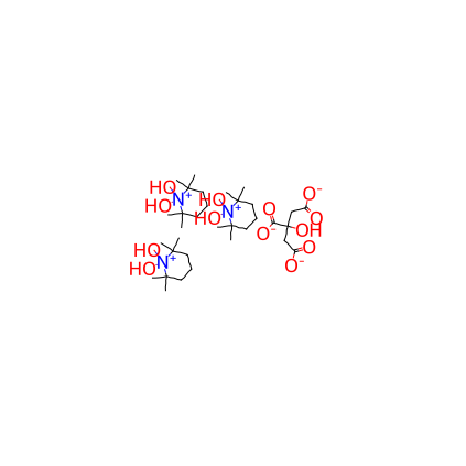 CC1(C)CCCC(C)(C)[N+]1(O)O.CC1(C)CCCC(C)(C)[N+]1(O)O.CC1(C)CCCC(C)(C)[N+]1(O)O.O=C([O-])CC(O)(CC(=O)[O-])C(=O)[O-]